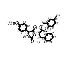 COc1ccc(C2NC(=O)N([C@H](C(=O)Nc3ccc(I)cc3C)[C@@H](C)c3ccccc3)C2=O)cc1